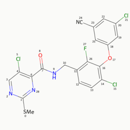 CSc1ncc(Cl)c(C(=O)NCc2ccc(Cl)c(Oc3cc(Cl)cc(C#N)c3)c2F)n1